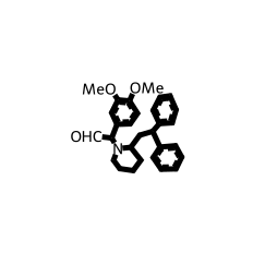 COc1ccc(C(C=O)N2CCCCC2CC(c2ccccc2)c2ccccc2)cc1OC